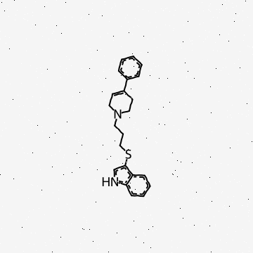 C1=C(c2ccccc2)CCN(CCCSc2c[nH]c3ccccc23)C1